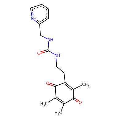 CC1=C(C)C(=O)C(CCNC(=O)NCc2ccccn2)=C(C)C1=O